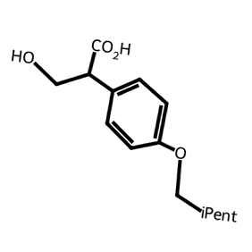 CCCC(C)COc1ccc(C(CO)C(=O)O)cc1